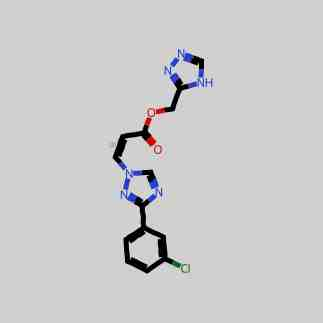 O=C(/C=C\n1cnc(-c2cccc(Cl)c2)n1)OCc1nnc[nH]1